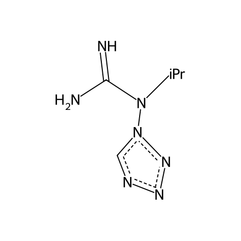 CC(C)N(C(=N)N)n1cnnn1